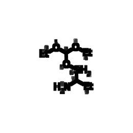 CCOC(OCC)O[SiH2]C(N)CC